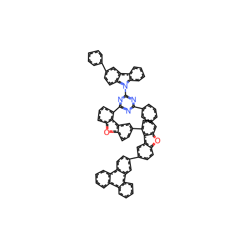 c1ccc(-c2ccc3c(c2)c2ccccc2n3-c2nc(-c3ccccc3)nc(-c3cccc4oc5ccc(-c6cccc7oc8ccc(-c9ccc%10c%11ccccc%11c%11ccccc%11c%10c9)cc8c67)cc5c34)n2)cc1